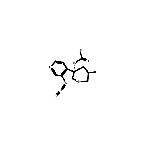 O=C(O)N[C@@]1(c2ccncc2N=C=S)CNC[C@H](F)C1